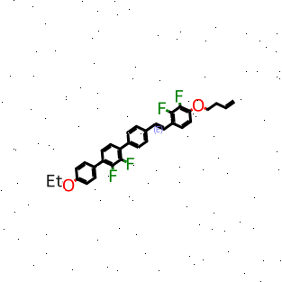 C=CCCOc1ccc(/C=C/c2ccc(-c3ccc(-c4ccc(OCC)cc4)c(F)c3F)cc2)c(F)c1F